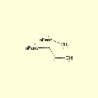 CCCCCC.CCCCCCCO